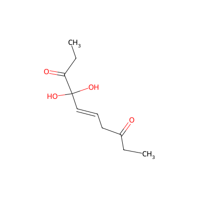 CCC(=O)CC=CC(O)(O)C(=O)CC